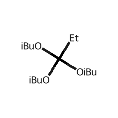 CCC(OCC(C)C)(OCC(C)C)OCC(C)C